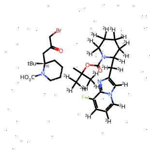 CC(C)(C)[C@@]1(CC(=O)CBr)CCCCN1C(=O)O.[2H]c1c([2H])c([2H])n2c([2H])c(C([2H])([2H])C3([2H])N(C(=O)OC(C)(C([2H])([2H])[2H])C([2H])([2H])[2H])C([2H])([2H])C([2H])([2H])C([2H])([2H])C3([2H])[2H])nc2c1F